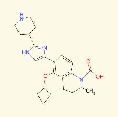 CC1CCc2c(ccc(-c3c[nH]c(C4CCNCC4)n3)c2OC2CCC2)N1C(=O)O